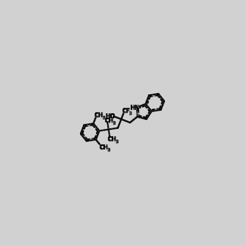 Cc1cccc(C)c1C(C)(C)CC(O)(Cc1cc2ccccc2[nH]1)C(F)(F)F